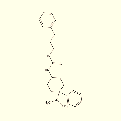 CN(C)C1(c2ccccc2)CCC(NC(=O)NCCCc2ccccc2)CC1